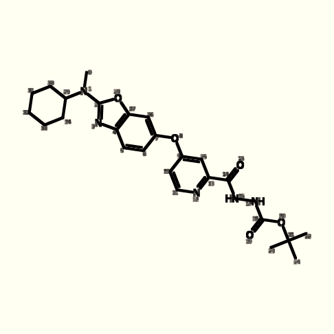 CN(c1nc2ccc(Oc3ccnc(C(=O)NNC(=O)OC(C)(C)C)c3)cc2o1)C1CCCCC1